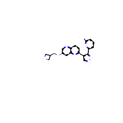 Cc1cccc(-c2n[nH]cc2-c2ccc3ncc(NCC4CNC4)cc3n2)n1